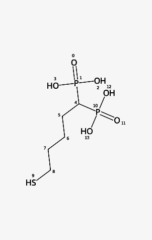 O=P(O)(O)C(CCCCS)P(=O)(O)O